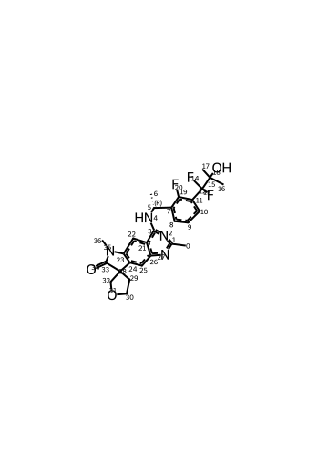 Cc1nc(N[C@H](C)c2cccc(C(F)(F)C(C)(C)O)c2F)c2cc3c(cc2n1)C1(CCOC1)C(=O)N3C